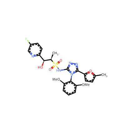 COc1cccc(OC)c1-n1c(NS(=O)(=O)[C@H](C)[C@@H](O)c2ccc(F)cn2)nnc1-c1ccc(C)o1